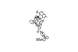 C#Cc1c(F)ccc2cc(C)cc(-c3nc(OC(C)C)c4c(N5CC6CCC(C6)C5)nc(OCC5(CN6CCN(C(=O)OC)CC6)CC5)nc4c3F)c12